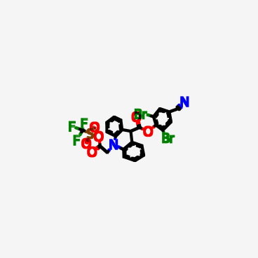 N#Cc1cc(Br)c(OC(=O)C2c3ccccc3N(CC(=O)OS(=O)(=O)C(F)(F)F)c3ccccc32)c(Br)c1